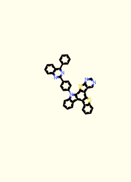 c1ccc(-c2nc(-c3ccc(-n4c5ccccc5c5c6c7ccccc7sc6c6c7cncnc7sc6c54)cc3)nc3ccccc23)cc1